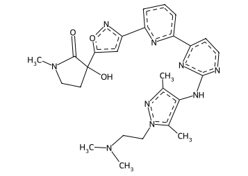 Cc1nn(CCN(C)C)c(C)c1Nc1nccc(-c2cccc(-c3cc(C4(O)CCN(C)C4=O)on3)n2)n1